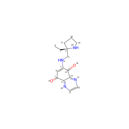 CC[C@@]1(CNC2=CC(=O)c3nccnc3C2=O)CCCN1